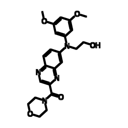 COc1cc(OC)cc(N(CCO)c2ccc3ncc(C(=O)N4CCOCC4)nc3c2)c1